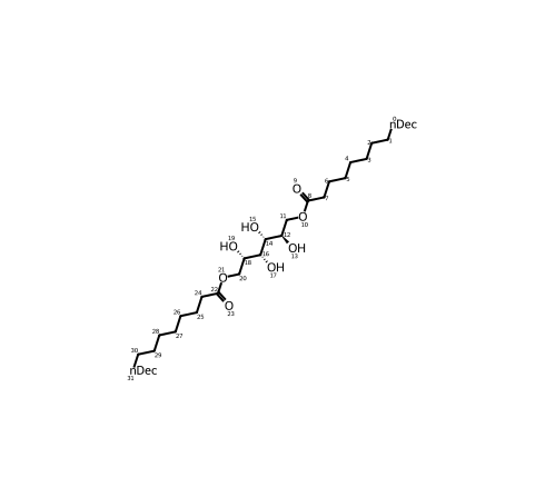 CCCCCCCCCCCCCCCCCC(=O)OC[C@@H](O)[C@@H](O)[C@H](O)[C@@H](O)COC(=O)CCCCCCCCCCCCCCCCC